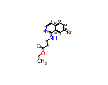 CCOC(=O)CCNc1nccc2ccc(Br)cc12